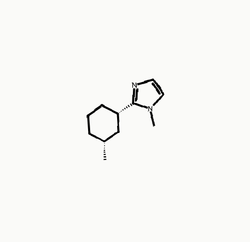 C[C@@H]1CCC[C@H](c2nccn2C)C1